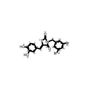 O=C1S/C(=C\c2ccc(O)c(O)c2)C(=O)N1Cc1cc(Br)cc(Br)c1